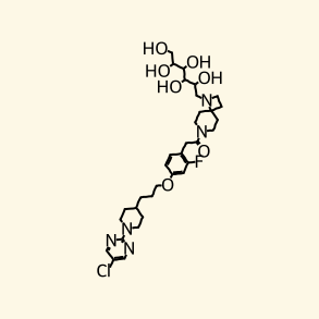 O=C(Cc1ccc(OCCCC2CCN(c3ncc(Cl)cn3)CC2)cc1F)N1CCC2(CC1)CCN2CC(O)C(O)C(O)C(O)CO